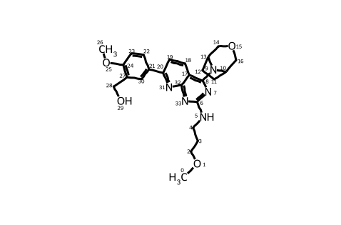 COCCCNc1nc(N2C3CCC2COC3)c2ccc(-c3ccc(OC)c(CO)c3)nc2n1